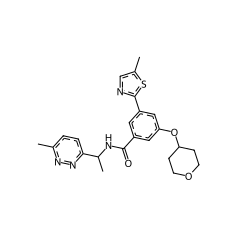 Cc1ccc(C(C)NC(=O)c2cc(OC3CCOCC3)cc(-c3ncc(C)s3)c2)nn1